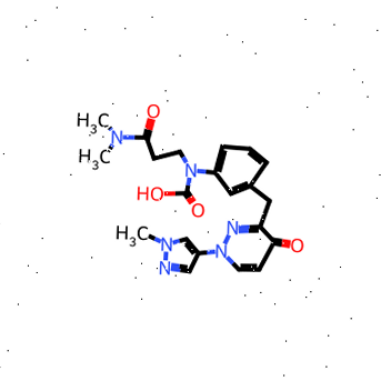 CN(C)C(=O)CCN(C(=O)O)c1cccc(Cc2nn(-c3cnn(C)c3)ccc2=O)c1